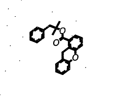 CC(C)(Cc1ccccc1)OC(=O)c1cccc2c1Cc1ccccc1O2